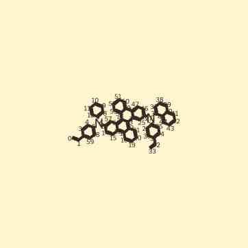 C=Cc1ccc(N(c2ccccc2)c2ccc3c4ccccc4c4c5cc(N(c6ccc(C=C)cc6)c6cccc7ccccc67)ccc5c5ccccc5c4c3c2)cc1